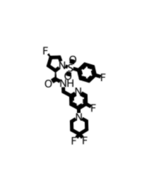 O=C(NCc1cc(N2CCC(F)(F)CC2)c(F)cn1)[C@H]1C[C@@H](F)CN1S(=O)(=O)c1ccc(F)cc1